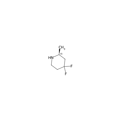 C[C@H]1CC(F)(F)CCN1